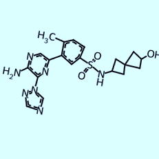 Cc1ccc(S(=O)(=O)NC2CC3(CC(O)C3)C2)cc1-c1cnc(N)c(-n2cncn2)n1